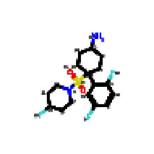 NC1CCC(c2cc(F)ccc2F)(S(=O)(=O)N2CCC(F)CC2)CC1